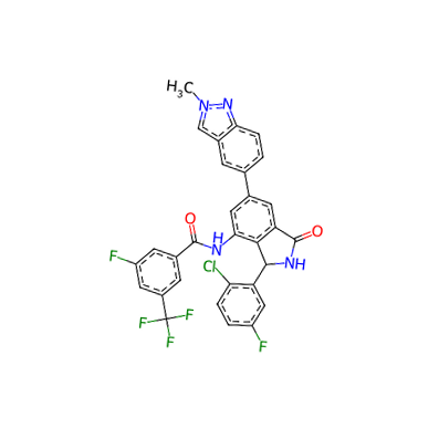 Cn1cc2cc(-c3cc(NC(=O)c4cc(F)cc(C(F)(F)F)c4)c4c(c3)C(=O)NC4c3cc(F)ccc3Cl)ccc2n1